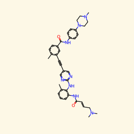 Cc1ccc(C(=O)Nc2ccc(N3CCN(C)CC3)cc2)cc1C#Cc1cnc(Nc2c(C)cccc2NC(=O)/C=C/CN(C)C)nc1